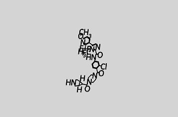 COc1ccc(-c2cnc(C(=O)Nc3ccc(C(=O)N4CCN(C(=O)C5[C@H]6CNC[C@@H]56)CC4)c(Cl)c3)n2C)c(C(F)(F)F)n1